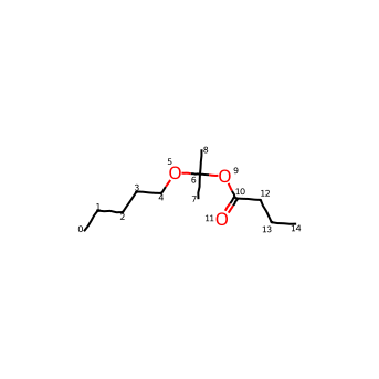 CCCCCOC(C)(C)OC(=O)CCC